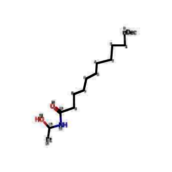 CCCCCCCCCCCCCCCCCCCC(=O)NC(O)CC